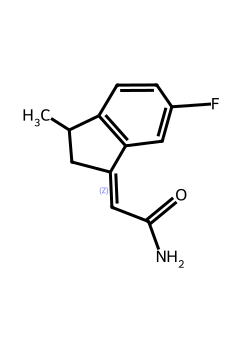 CC1C/C(=C/C(N)=O)c2cc(F)ccc21